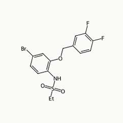 CCS(=O)(=O)Nc1ccc(Br)cc1OCc1ccc(F)c(F)c1